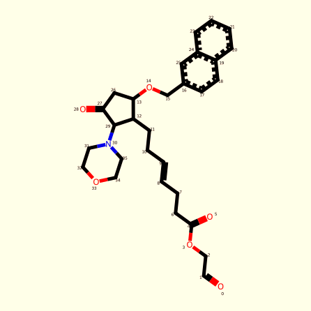 O=CCOC(=O)CCC=CCCC1C(OCc2ccc3ccccc3c2)CC(=O)C1N1CCOCC1